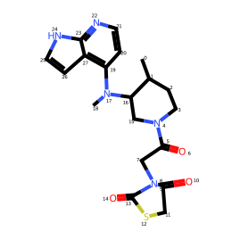 CC1CCN(C(=O)CN2C(=O)CSC2=O)CC1N(C)c1ccnc2[nH]ccc12